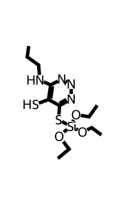 CCCNc1nnnc(S[Si](OCC)(OCC)OCC)c1S